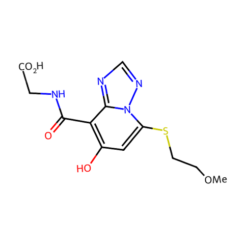 COCCSc1cc(O)c(C(=O)NCC(=O)O)c2ncnn12